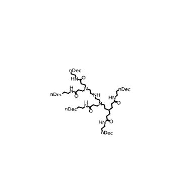 CCCCCCCCCCCCNC(=O)CCC(CCC(=O)NCCCCCCCCCCCC)CCN(CCNCCN(CCC(=O)NCCCCCCCCCCCC)CCC(=O)NCCCCCCCCCCCC)CCC(=O)NCCCCCCCCCCCC